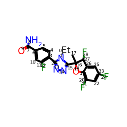 CCn1c(-c2ccc(C(N)=O)cc2F)nnc1C1(C)Oc2c(F)cc(F)cc2C1F